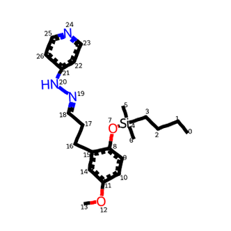 CCCC[Si](C)(C)Oc1ccc(OC)cc1CCC=NNc1ccncc1